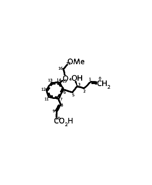 C=CC[C@H](O)Cc1c(C=CC(=O)O)cccc1OCOC